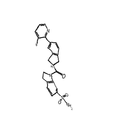 NS(=O)(=O)c1ccc2c(c1)N(C(=O)[C@@H]1Cc3ccc(-c4ncccc4F)cc3C1)CC2